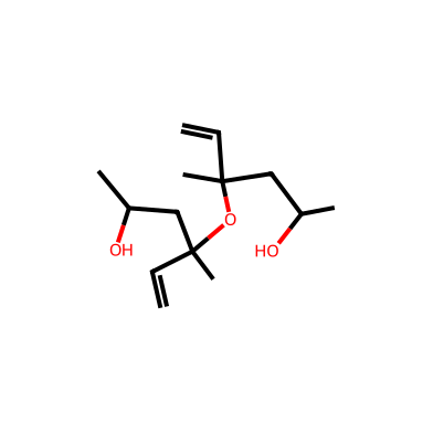 C=CC(C)(CC(C)O)OC(C)(C=C)CC(C)O